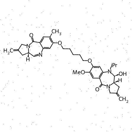 C=C1C[C@H]2C=Nc3cc(OCCCCCOc4cc5c(cc4OC)C(=O)N4CC(=C)C[C@H]4[C@H](O)N5C(C)C)c(C)cc3C(=O)N2C1